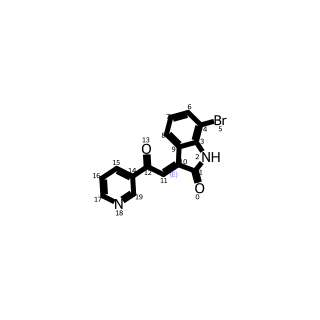 O=C1Nc2c(Br)cccc2/C1=C\C(=O)c1cccnc1